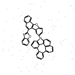 c1ccc2c(c1)-c1cccc3ccc4c(c13)c1c-2cccc1n4-c1ccc2oc3c4ccccc4cc(-c4nc5ccccc5o4)c3c2c1